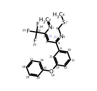 C=N/C(=C\C(=N/CSC)c1cccc(Oc2ccccc2)c1)C(F)(F)F